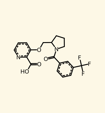 O=C(O)c1ncccc1OCC1CCCN1C(=O)c1cccc(C(F)(F)F)c1